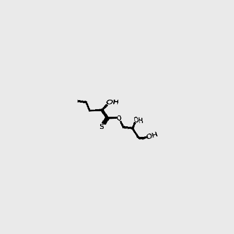 CCCC(O)C(=S)OCC(O)CO